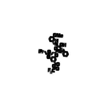 COc1cccc(CNC[C@H](O)[C@H](Cc2ccccc2)NC(=O)C(CCS(=O)(=O)CCC(C)C)Oc2cccc(C(=O)OC(=O)C(F)(F)F)c2)c1